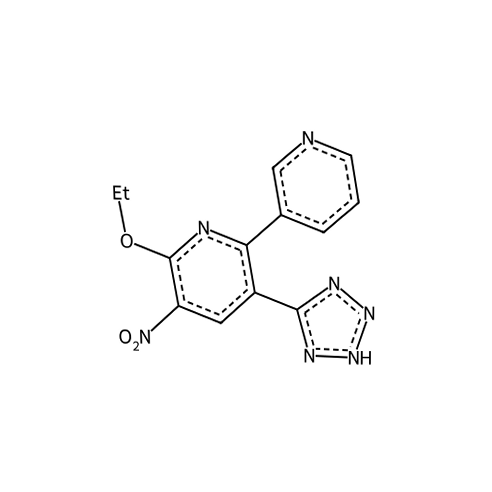 CCOc1nc(-c2cccnc2)c(-c2nn[nH]n2)cc1[N+](=O)[O-]